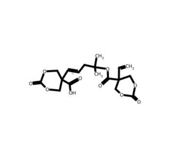 C=CC1(C(=O)OC(C)(C)C/C=C/C2(C(=O)O)COC(=O)OC2)COC(=O)OC1